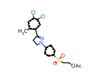 CC(=O)OCCS(=O)(=O)c1ccc(N2CCC(c3cc(Cl)c(Cl)cc3C)=N2)cc1